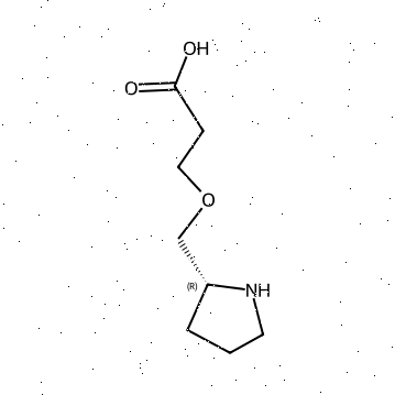 O=C(O)CCOC[C@H]1CCCN1